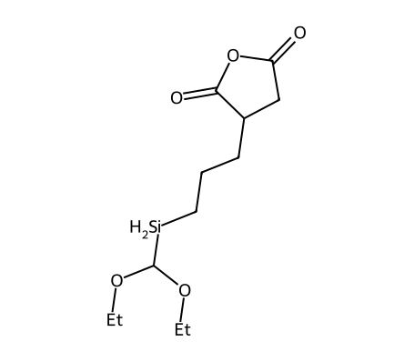 CCOC(OCC)[SiH2]CCCC1CC(=O)OC1=O